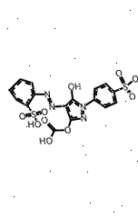 O=C(O)Oc1nn(-c2ccc(S(=O)(=O)O)cc2)c(O)c1N=Nc1ccccc1S(=O)(=O)O